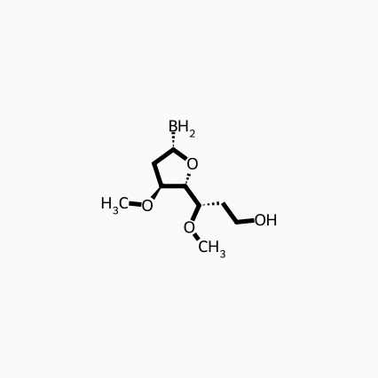 B[C@H]1C[C@H](OC)[C@@H]([C@H](CCO)OC)O1